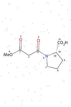 COC(=O)CC(=O)N1CCC[C@H]1C(=O)O